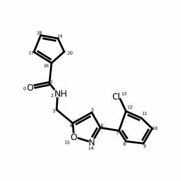 O=C(NCc1cc(-c2ccccc2Cl)no1)C1=CC=CC1